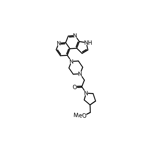 COCC1CCN(C(=O)CN2CCN(c3ccnc4cnc5[nH]ccc5c34)CC2)C1